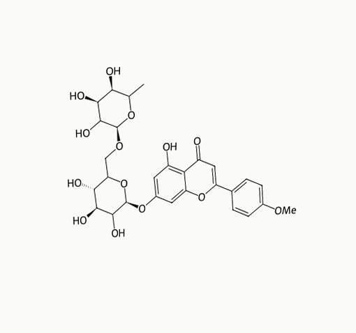 COc1ccc(-c2cc(=O)c3c(O)cc(O[C@@H]4OC(CO[C@@H]5OC(C)[C@H](O)[C@H](O)C5O)[C@@H](O)[C@H](O)C4O)cc3o2)cc1